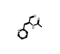 CC(=O)NC([C]=O)=Cc1ccccn1